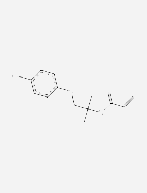 C=CC(=O)NC(C)(C)CSc1ccc(Cl)cc1